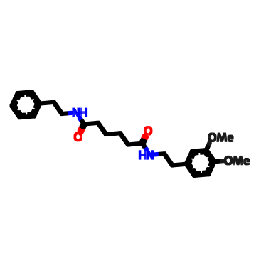 COc1ccc(CCNC(=O)CCCCC(=O)NCCc2ccccc2)cc1OC